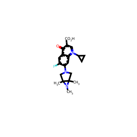 CN1C2(C)CN(c3cc4c(cc3F)c(=O)c(C(=O)O)cn4C3CC3)CC12C